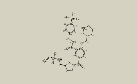 C=CS(=O)(=O)NC[C@@H]1CCN(C(=O)c2ccc(OCC3CCCNC3)c(C(=O)NCc3ccc(C(F)(F)F)cc3)c2)C1